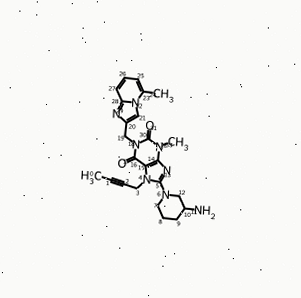 CC#CCn1c(N2CCCC(N)C2)nc2c1c(=O)n(Cc1cn3c(C)cccc3n1)c(=O)n2C